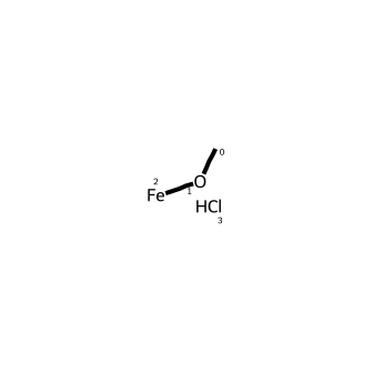 C[O][Fe].Cl